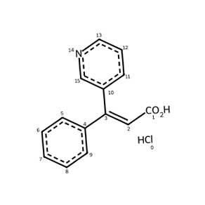 Cl.O=C(O)/C=C(/c1ccccc1)c1cccnc1